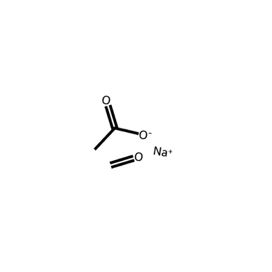 C=O.CC(=O)[O-].[Na+]